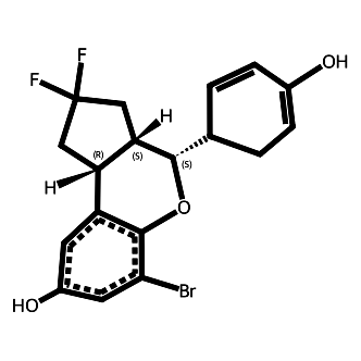 OC1=CCC([C@@H]2Oc3c(Br)cc(O)cc3[C@@H]3CC(F)(F)C[C@@H]32)C=C1